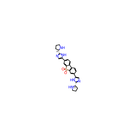 O=S1(=O)c2cc(-c3cnc([C@@H]4CCCN4)[nH]3)ccc2-c2ccc(-c3cnc([C@@H]4CCCN4)[nH]3)cc21